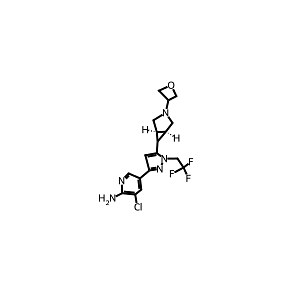 Nc1ncc(-c2cc(C3[C@H]4CN(C5COC5)C[C@@H]34)n(CC(F)(F)F)n2)cc1Cl